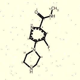 CNC(=O)c1cc(F)c(N2CCNCC2)cn1